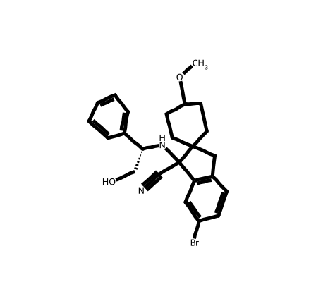 COC1CCC2(CC1)Cc1ccc(Br)cc1C2(C#N)N[C@H](CO)c1ccccc1